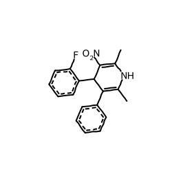 CC1=C(c2ccccc2)C(c2ccccc2F)C([N+](=O)[O-])=C(C)N1